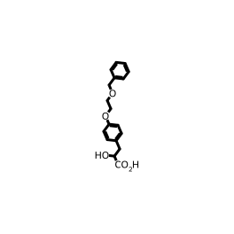 O=C(O)C(O)Cc1ccc(OCCOCc2ccccc2)cc1